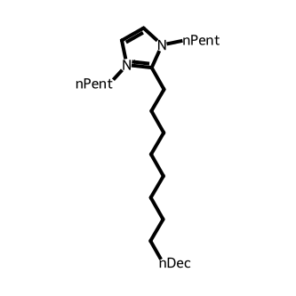 CCCCCCCCCCCCCCCCCCc1n(CCCCC)cc[n+]1CCCCC